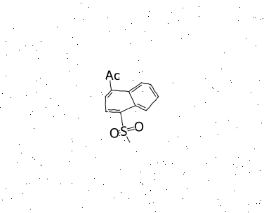 CC(=O)c1ccc(S(C)(=O)=O)c2ccccc12